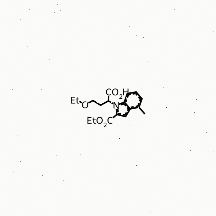 CCOCCC(C(=O)O)n1c(C(=O)OCC)cc2c(C)cccc21